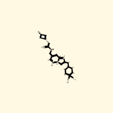 O=C(C[C@H]1C[C@H](F)C1)NCc1cnn2cc(CC3CCC(F)(F)CC3)nc2c1